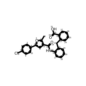 Cc1oc(-c2ccc(Cl)cc2)cc1C(=O)Nc1ccccc1Cc1ccccc1C(=O)O